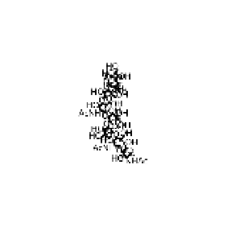 CC(=O)NC1[C@H](O[C@@H]2C(CO)O[C@@H](C)C(NC(C)=O)[C@H]2O)OC(CO)[C@@H](O[C@@H]2OC(CO)[C@@H](O)[C@H](O[C@H]3O[C@H](CO)[C@@H](O)C(O)C3O[C@@H]3OC(CO)[C@@H](O[C@@H]4OC(CO)[C@H](O)[C@H](O[C@]5(OC=O)C[C@@H](O)[C@@H](C)C([C@H](O)[C@H](O)CO)O5)C4O)[C@H](O)C3NC(C)=O)C2O)[C@@H]1O